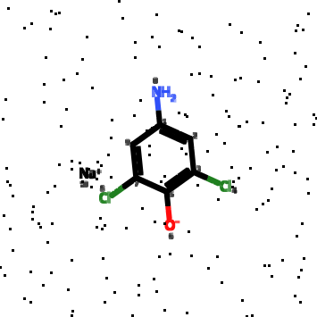 Nc1cc(Cl)c([O-])c(Cl)c1.[Na+]